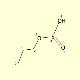 CCCOS(=O)O